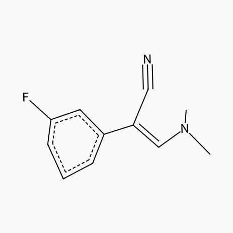 CN(C)/C=C(\C#N)c1cccc(F)c1